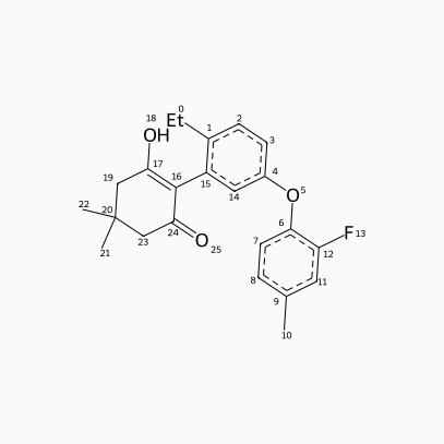 CCc1ccc(Oc2ccc(C)cc2F)cc1C1=C(O)CC(C)(C)CC1=O